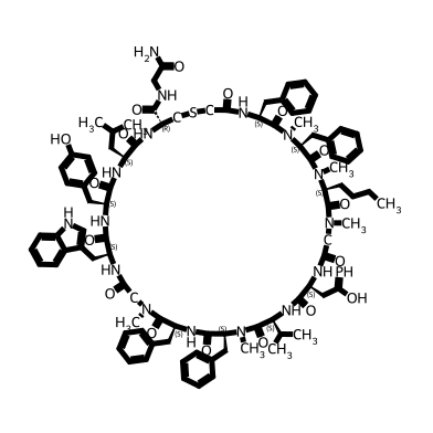 CCCC[C@H]1C(=O)N(C)CC(=O)N[C@@H](CC(O)=P)C(=O)N[C@@H](C(C)C)C(=O)N(C)[C@@H](Cc2ccccc2)C(=O)N[C@@H](Cc2ccccc2)C(=O)N(C)CC(=O)N[C@@H](Cc2c[nH]c3ccccc23)C(=O)N[C@@H](Cc2ccc(O)cc2)C(=O)N[C@@H](CC(C)C)C(=O)N[C@H](C(=O)NCC(N)=O)CSCC(=O)N[C@@H](Cc2ccccc2)C(=O)N(C)[C@@H](Cc2ccccc2)C(=O)N1C